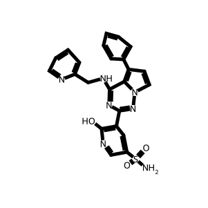 NS(=O)(=O)c1cnc(O)c(-c2nc(NCc3ccccn3)c3c(-c4ccccc4)ccn3n2)c1